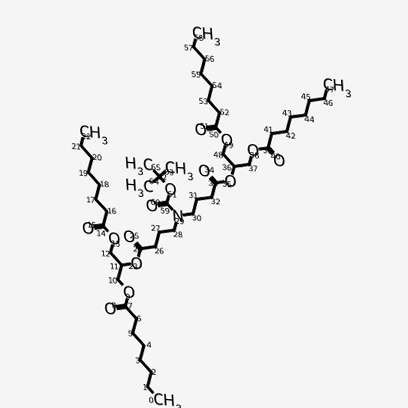 CCCCCCCC(=O)OCC(COC(=O)CCCCCCC)OC(=O)CCCN(CCCC(=O)OC(COC(=O)CCCCCCC)COC(=O)CCCCCCC)C(=O)OC(C)(C)C